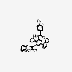 COC(=O)C(Cc1ccccc1)n1cc(-c2cccc3ccccc23)cc(NC(=O)c2ccc(C(F)(F)F)cc2)c1=O